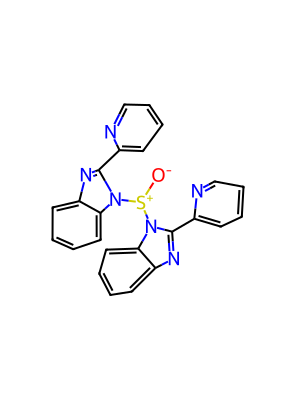 [O-][S+](n1c(-c2ccccn2)nc2ccccc21)n1c(-c2ccccn2)nc2ccccc21